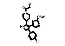 COc1nccc(-c2c(-c3ccc(Cl)cc3)n[nH]c2C2CCN(C(=O)CO)CC2)n1